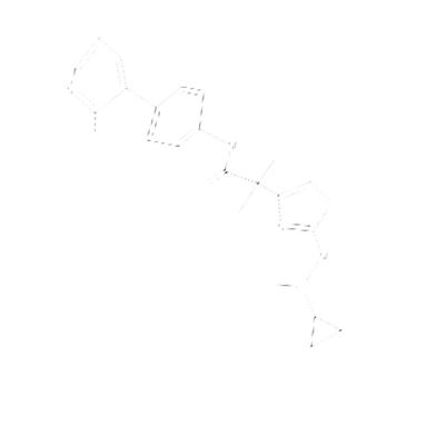 CC(C)(C(=O)Nc1ccc(-c2cccnc2C(F)(F)F)cc1)c1csc(N[S+]([O-])C2CC2)n1